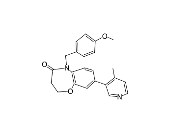 COc1ccc(CN2C(=O)CCOc3cc(-c4cnccc4C)ccc32)cc1